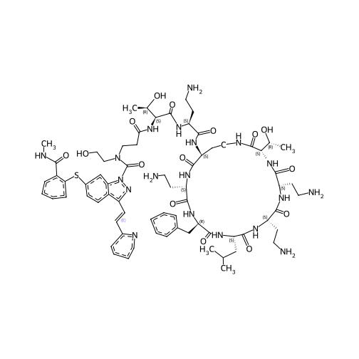 CNC(=O)c1ccccc1Sc1ccc2c(/C=C/c3ccccn3)nn(C(=O)N(CCO)CCC(=O)N[C@H](C(=O)N[C@@H](CCN)C(=O)N[C@H]3CCNC(=O)[C@H]([C@@H](C)O)NC(=O)[C@H](CCN)NC(=O)[C@H](CCN)NC(=O)[C@H](CC(C)C)NC(=O)[C@@H](Cc4ccccc4)NC(=O)[C@H](CCN)NC3=O)[C@@H](C)O)c2c1